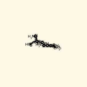 Cc1c(COc2cc(OCc3cncc(N)c3)c(CNCCCC(=O)O)cc2Cl)cccc1-c1cccc(-c2ccc(N3CCN(C(=O)OC(C)(C)C)CC3)cc2)c1C